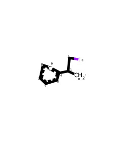 [CH2]C(CI)c1ccccc1